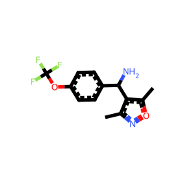 Cc1noc(C)c1C(N)c1ccc(OC(F)(F)F)cc1